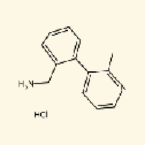 Cc1ncccc1-c1ccccc1CN.Cl